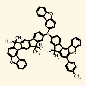 Cc1ccc(-c2cc3c(c4c2oc2ccccc24)-c2ccc(N(c4ccc5c(c4)C(C)(C)c4cc6c(cc4-5)C(C)(C)c4ccc5oc7ccccc7c5c4-6)c4ccc5oc6ccccc6c5c4)cc2C3(C)C)cc1